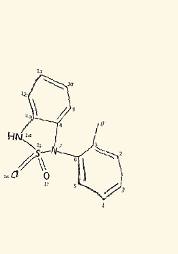 Cc1ccccc1N1c2ccccc2NS1(=O)=O